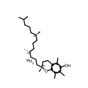 Cc1c(C)c2c(c(C)c1O)CC[C@@](C)(CCC[C@H](C)CCC[C@H](C)CCCC(C)C)O2.P